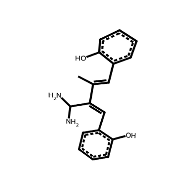 CC(=Cc1ccccc1O)C(=Cc1ccccc1O)C(N)N